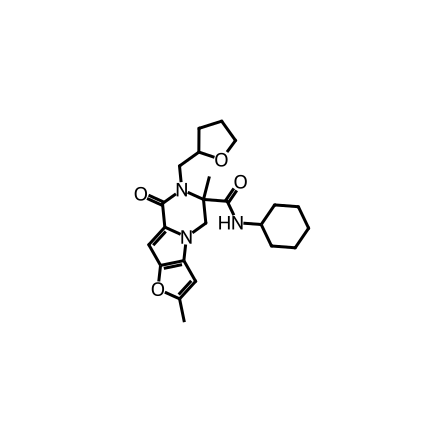 Cc1cc2c(cc3n2CC(C)(C(=O)NC2CCCCC2)N(CC2CCCO2)C3=O)o1